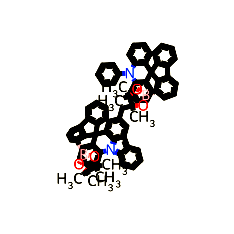 CC1(C)OB(c2cccc3c2C2(c4ccccc4-3)c3ccccc3-n3c4ccccc4c4cc(CC5(C)OB(c6cccc7c6C6(c8ccccc8-7)c7ccccc7N(c7ccccc7)c7ccccc76)OC5(C)C)cc2c43)OC1(C)C